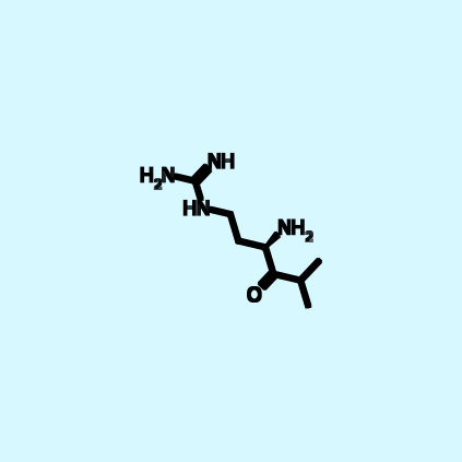 CC(C)C(=O)[C@H](N)CCNC(=N)N